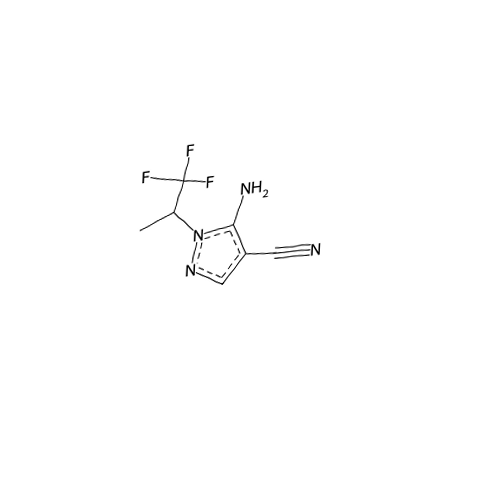 CC(n1ncc(C#N)c1N)C(F)(F)F